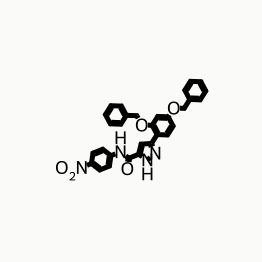 O=C(Nc1ccc([N+](=O)[O-])cc1)c1cc(-c2ccc(OCc3ccccc3)cc2OCc2ccccc2)n[nH]1